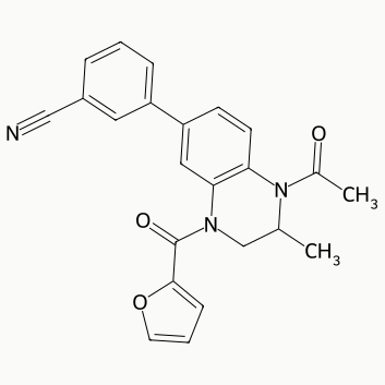 CC(=O)N1c2ccc(-c3cccc(C#N)c3)cc2N(C(=O)c2ccco2)CC1C